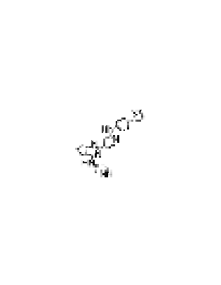 c1csc(-c2ccc(Nc3cc(-c4nc(N[C@@H]5CCNC5)c5sccc5n4)ccn3)cc2)c1